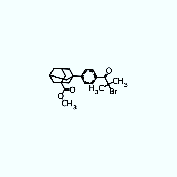 COC(=O)C12CC3CC(C1)CC(c1ccc(C(=O)C(C)(C)Br)cc1)(C3)C2